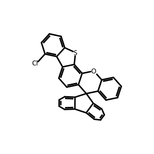 Clc1cccc2sc3c4c(ccc3c12)C1(c2ccccc2O4)c2ccccc2-c2ccccc21